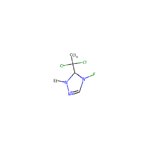 CCN1N=CN(F)C1C(Cl)(Cl)C(Cl)(Cl)Cl